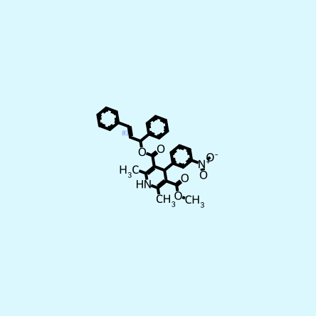 COC(=O)C1=C(C)NC(C)=C(C(=O)OC(/C=C/c2ccccc2)c2ccccc2)C1c1cccc([N+](=O)[O-])c1